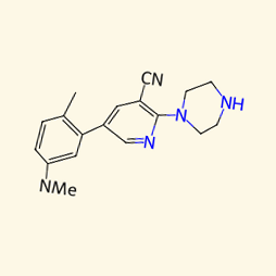 CNc1ccc(C)c(-c2cnc(N3CCNCC3)c(C#N)c2)c1